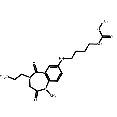 CCOC(=O)CCN1CC(=O)N(C)c2ccc(NCCCCNC(=O)OC(C)(C)C)cc2C1=O